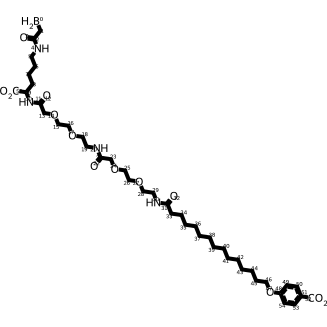 BCC(=O)NCCCCC(NC(=O)COCCOCCNC(=O)COCCOCCNC(=O)CCCCCCCCCCCCCCOc1ccc(C(=O)O)cc1)C(=O)O